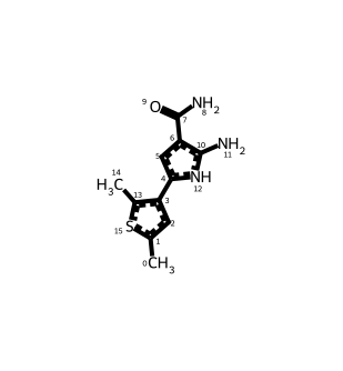 Cc1cc(-c2cc(C(N)=O)c(N)[nH]2)c(C)s1